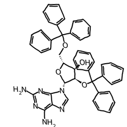 Nc1nc(N)c2ncn([C@@H]3O[C@H](COC(c4ccccc4)(c4ccccc4)c4ccccc4)[C@@H](O)[C@H]3OC(c3ccccc3)(c3ccccc3)c3ccccc3)c2n1